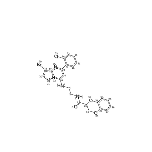 O=C(NCCNc1cc(-c2ccccc2Cl)nc2c(Br)cnn12)C1COc2ccccc2O1